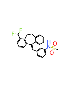 CS(=O)(=O)Nc1cccc(/C=C2\c3ccccc3CCc3c2cccc3C(F)F)c1